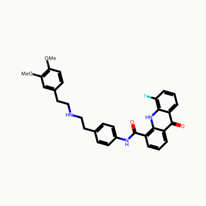 COc1ccc(CCNCCc2ccc(NC(=O)c3cccc4c(=O)c5cccc(F)c5[nH]c34)cc2)cc1OC